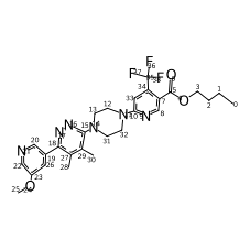 CCCCOC(=O)c1cnc(N2CCN(c3nnc(-c4cncc(OC)c4)c(C)c3C)CC2)cc1C(F)(F)F